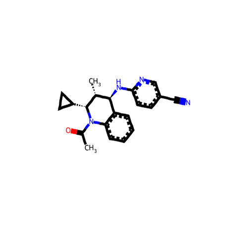 CC(=O)N1c2ccccc2[C@H](Nc2ccc(C#N)cn2)[C@@H](C)[C@H]1C1CC1